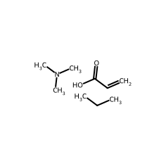 C=CC(=O)O.CCC.CN(C)C